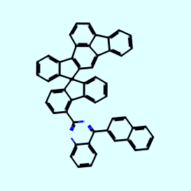 c1ccc2c(c1)-c1cccc3c4c(cc-2c13)C1(c2ccccc2-c2c(-c3nc(-c5ccc6ccccc6c5)c5ccccc5n3)cccc21)c1ccccc1-4